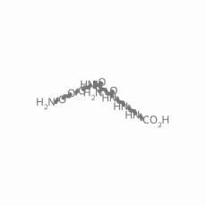 CC(C)(NCCOCCOCCOCCN)C(=O)C(N)CCC(=O)NCCCNCCCNCCC(=O)O